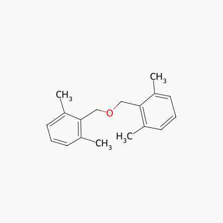 Cc1cccc(C)c1COCc1c(C)cccc1C